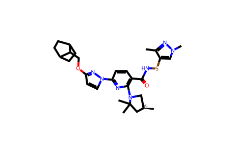 Cc1nn(C)cc1SNC(=O)c1ccc(-n2ccc(OCC3C4CCC3CC4)n2)nc1N1C[C@@H](C)CC1(C)C